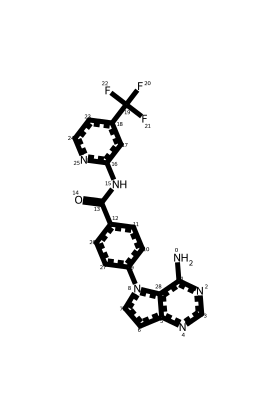 Nc1ncnc2ccn(-c3ccc(C(=O)Nc4cc(C(F)(F)F)ccn4)cc3)c12